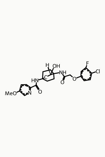 COc1ccc(C(=O)NC23CCC(NC(=O)COc4ccc(Cl)c(F)c4)(CC2)[C@@H](O)C3)nc1